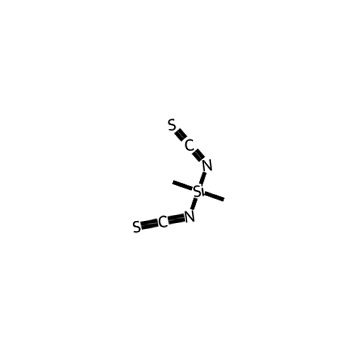 C[Si](C)(N=C=S)N=C=S